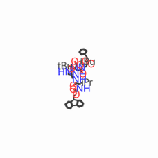 CC(C)C(NC(=O)OCC1c2ccccc2-c2ccccc21)C(=O)NCC1(NC(C(=O)NCC(=O)OCc2ccccc2)C(OC(C)(C)C)C(=O)OC(C)(C)C)CNC1